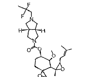 CO[C@H]1C([C@@]2(C)O[C@@H]2CC=C(C)C)[C@]2(CC[C@H]1OC(=O)N1C[C@H]3CN(CC(C)(F)F)C[C@H]3C1)CO2